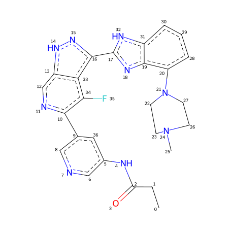 CCC(=O)Nc1cncc(-c2ncc3[nH]nc(-c4nc5c(N6CCN(C)CC6)cccc5[nH]4)c3c2F)c1